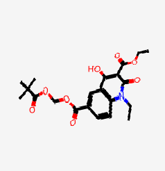 CCOC(=O)c1c(O)c2cc(C(=O)OCOC(=O)C(C)(C)C)ccc2n(CC)c1=O